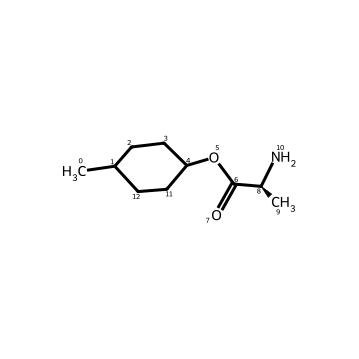 CC1CCC(OC(=O)[C@H](C)N)CC1